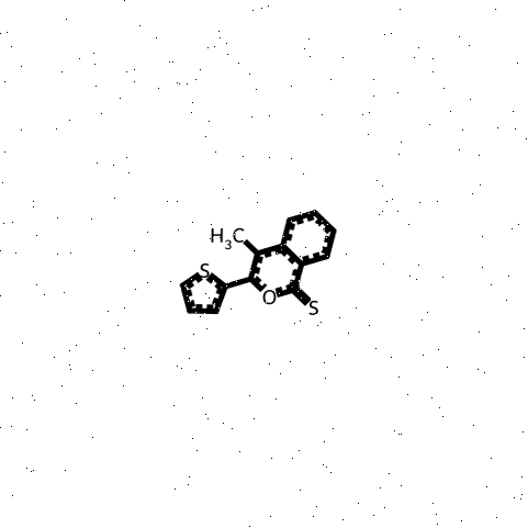 Cc1c(-c2cccs2)oc(=S)c2ccccc12